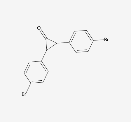 O=C1C(c2ccc(Br)cc2)C1c1ccc(Br)cc1